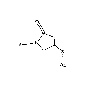 CC(=O)SC1CC(=O)N(C(C)=O)C1